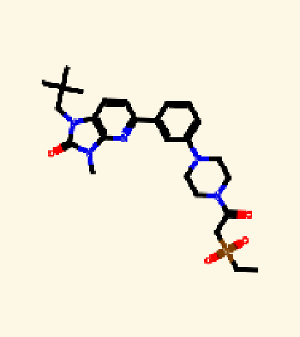 CCS(=O)(=O)CC(=O)N1CCN(c2cccc(-c3ccc4c(n3)n(C)c(=O)n4CC(C)(C)C)c2)CC1